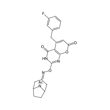 CC(=O)N1C2CCC1CC(=NOc1nc3oc(=O)cc(Cc4cccc(F)c4)c3c(=O)[nH]1)C2